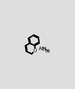 C1=Cc2ccccc2OC1.[AlH3].[Ni].[Ti]